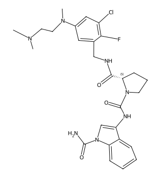 CN(C)CCN(C)c1cc(Cl)c(F)c(CNC(=O)[C@@H]2CCCN2C(=O)Nc2cn(C(N)=O)c3ccccc23)c1